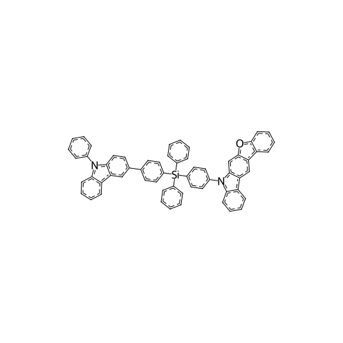 c1ccc(-n2c3ccccc3c3cc(-c4ccc([Si](c5ccccc5)(c5ccccc5)c5ccc(-n6c7ccccc7c7cc8c(cc76)oc6ccccc68)cc5)cc4)ccc32)cc1